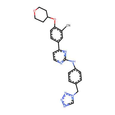 N#Cc1cc(-c2ccnc(Nc3ccc(Cn4cnnn4)cc3)n2)ccc1OC1CCOCC1